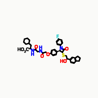 O=C(COc1ccc([C@@H]2[C@@H](SCC(O)c3ccc4c(c3)CCC4)C(=O)N2c2ccc(F)cc2)cc1)NCC(=O)N[C@H](CC1CCCCC1)C(=O)O